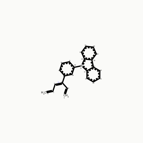 C=C/C=C(\C=C)c1cccc(-n2c3ccccc3c3ccccc32)c1